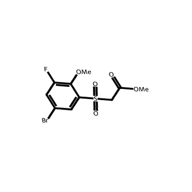 COC(=O)CS(=O)(=O)c1cc(Br)cc(F)c1OC